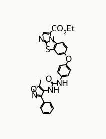 CCOC(=O)c1cnc2sc3cc(Oc4ccc(NC(=O)Nc5c(-c6ccccc6)noc5C)cc4)ccc3n12